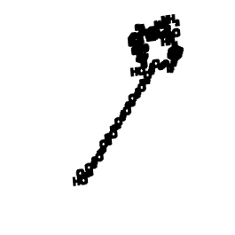 CCC(c1cccc(S(=O)(=O)N2CC(CO)C2)c1)c1ccc2c(c1)N=C(N)CC(C(=O)NCc1ccc(CN(C)CCOCCOCCOCCOCCOCCOCCOCCOCCOCCOCC(=O)O)cc1)=C2